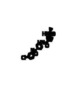 N=[S@](=O)(c1ccc(C(=O)N[C@H]2CC[C@@H](c3nc4cc(Cl)ccc4o3)CC2)o1)C1CC1